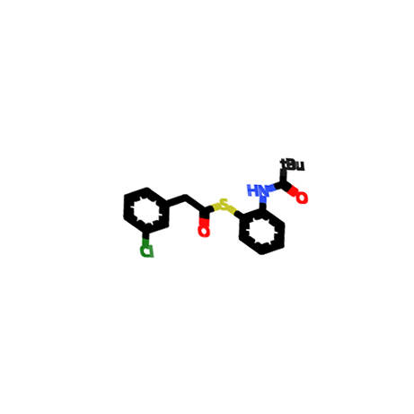 CC(C)(C)C(=O)Nc1ccccc1SC(=O)Cc1cccc(Cl)c1